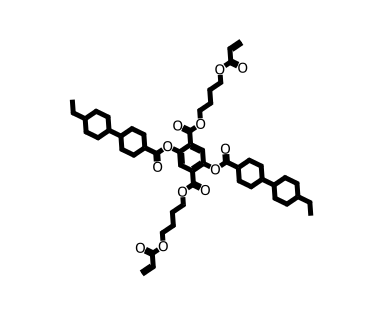 C=CC(=O)OCCCCOC(=O)c1cc(OC(=O)C2CCC(C3CCC(CC)CC3)CC2)c(C(=O)OCCCCOC(=O)C=C)cc1OC(=O)C1CCC(C2CCC(CC)CC2)CC1